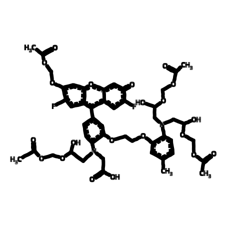 CC(=O)OCOc1cc2oc3cc(=O)c(F)cc-3c(-c3ccc(N(CC(=O)O)CC(O)OCOC(C)=O)c(OCCOc4cc(C)ccc4N(CC(O)OCOC(C)=O)CC(O)OCOC(C)=O)c3)c2cc1F